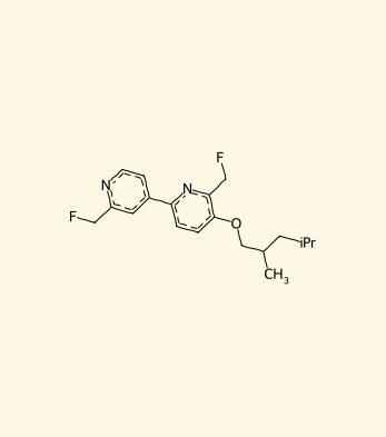 CC(C)CC(C)COc1ccc(-c2ccnc(CF)c2)nc1CF